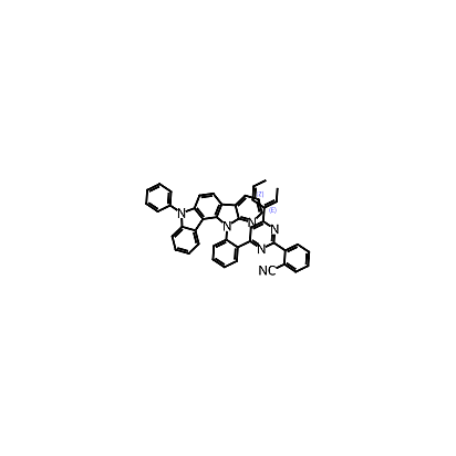 C/C=C\C(=C/C)c1cc(-c2ccccc2-n2c3ncccc3c3ccc4c(c5ccccc5n4-c4ccccc4)c32)nc(-c2ccccc2C#N)n1